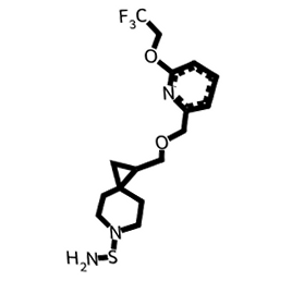 NSN1CCC2(CC1)CC2COCc1cccc(OCC(F)(F)F)n1